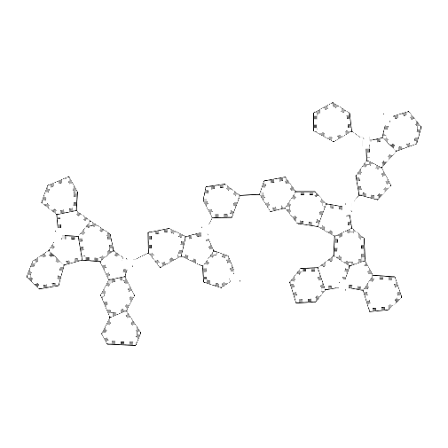 c1ccc(-n2c3cc(-n4c5cc6ccc(-c7cccc(-n8c9ccc(-n%10c%11cc%12ccccc%12cc%11c%11c%12c%13ccccc%13n%13c%14ccccc%14c(cc%11%10)c%12%13)cc9c9ccncc98)c7)cc6cc5c5c6c7ccccc7n7c8ccccc8c(cc54)c67)ccc3c3cccnc32)cc1